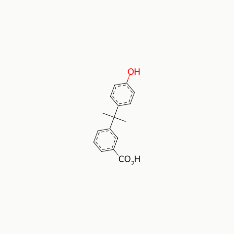 CC(C)(c1ccc(O)cc1)c1cccc(C(=O)O)c1